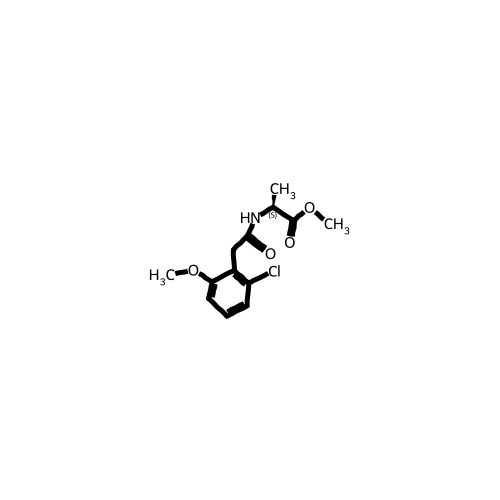 COC(=O)[C@H](C)NC(=O)Cc1c(Cl)cccc1OC